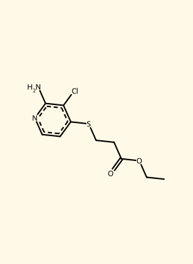 CCOC(=O)CCSc1ccnc(N)c1Cl